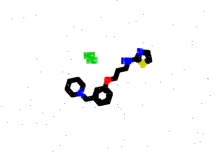 Cl.Cl.c1cc(CN2CCCCC2)cc(OCCCNc2nccs2)c1